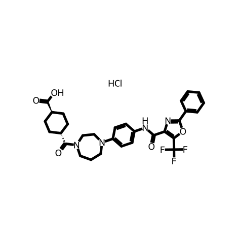 Cl.O=C(Nc1ccc(N2CCCN(C(=O)[C@H]3CC[C@H](C(=O)O)CC3)CC2)cc1)c1nc(-c2ccccc2)oc1C(F)(F)F